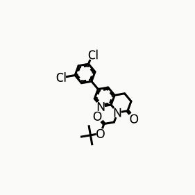 CC(C)(C)OC(=O)CN1C(=O)CCc2cc(-c3cc(Cl)cc(Cl)c3)cnc21